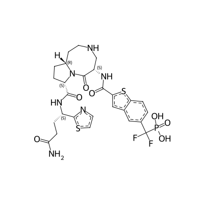 NC(=O)CC[C@H](NC(=O)[C@@H]1CC[C@@H]2CCNC[C@H](NC(=O)c3cc4cc(C(F)(F)P(=O)(O)O)ccc4s3)C(=O)N21)c1nccs1